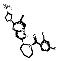 Cc1cn2nc([C@@H]3CCCCN3C(=O)c3ccc(F)cc3F)cc2nc1N1CC[C@H](N)C1